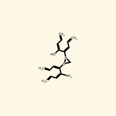 C=C/C=C(N)\C(=C/C=C)N1CN1C(=C/C=C)/C(O)=C\C=C